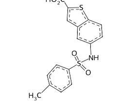 Cc1ccc(S(=O)(=O)Nc2ccc3sc(C(=O)O)cc3c2)cc1